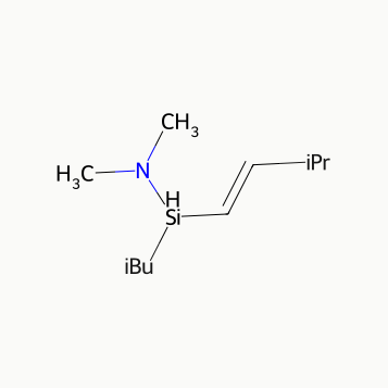 CCC(C)[SiH](C=CC(C)C)N(C)C